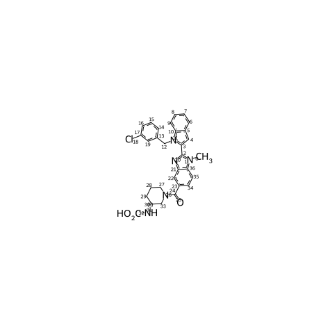 Cn1c(-c2cc3ccccc3n2Cc2cccc(Cl)c2)nc2cc(C(=O)N3CCC[C@@H](NC(=O)O)C3)ccc21